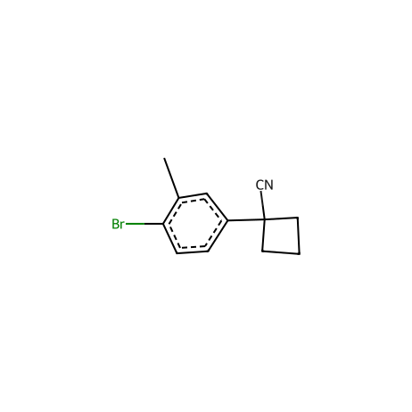 Cc1cc(C2(C#N)CCC2)ccc1Br